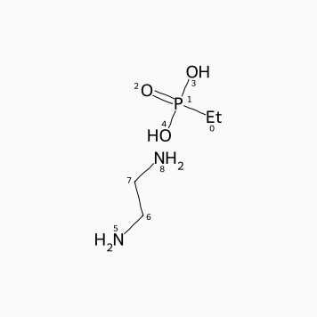 CCP(=O)(O)O.NCCN